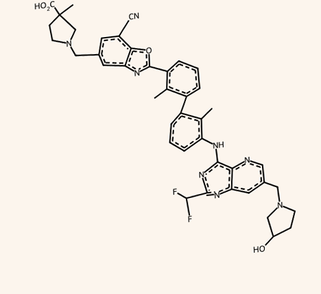 Cc1c(Nc2nc(C(F)F)nc3cc(CN4CCC(O)C4)cnc23)cccc1-c1cccc(-c2nc3cc(CN4CCC(C)(C(=O)O)C4)cc(C#N)c3o2)c1C